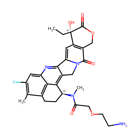 CC[C@@]1(O)C(=O)OCc2c1cc1n(c2=O)Cc2c-1nc1cc(F)c(C)c3c1c2[C@@H](N(C)C(=O)COCCN)CC3